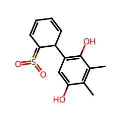 Cc1c(O)cc(C2C=CC=CC2=S(=O)=O)c(O)c1C